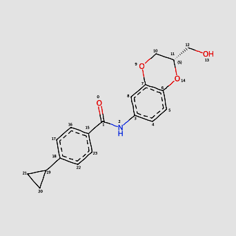 O=C(Nc1ccc2c(c1)OC[C@H](CO)O2)c1ccc(C2CC2)cc1